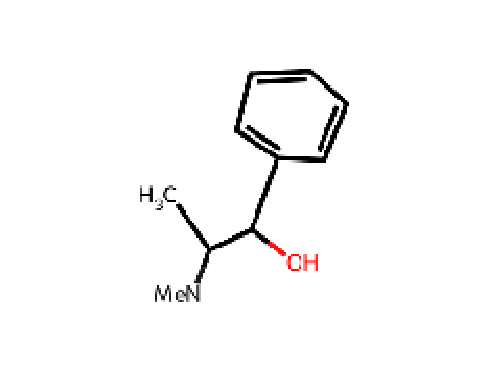 [CH2]NC(C)C(O)c1ccccc1